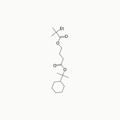 CCC(C)(C)C(=O)OCCCC(=O)OC(C)(C)C1CCCCC1